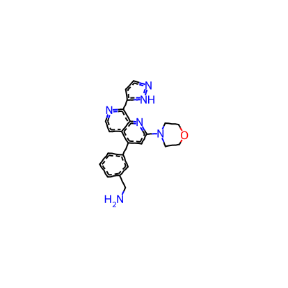 NCc1cccc(-c2cc(N3CCOCC3)nc3c(-c4ccn[nH]4)nccc23)c1